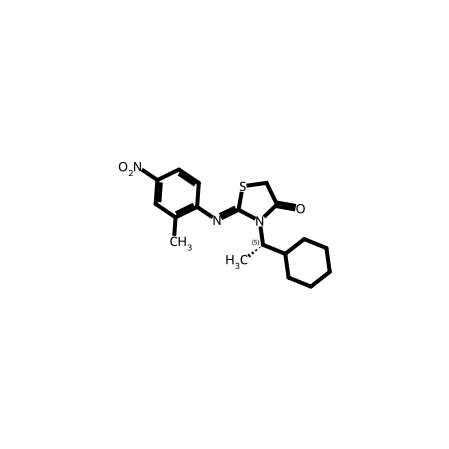 Cc1cc([N+](=O)[O-])ccc1N=C1SCC(=O)N1[C@@H](C)C1CCCCC1